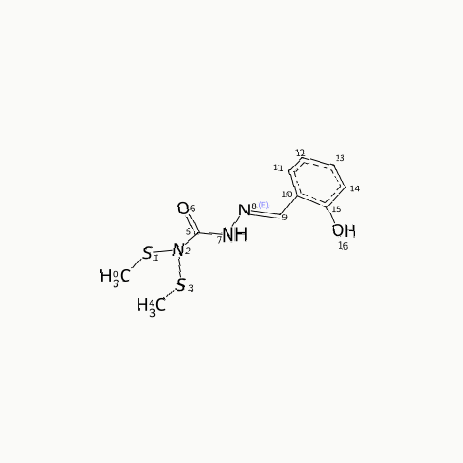 CSN(SC)C(=O)N/N=C/c1ccccc1O